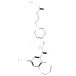 COC(=O)CCCN1CC[C@@H](CNC(=O)c2cc(N)cc3c2OCCCO3)[C@H](O)C1